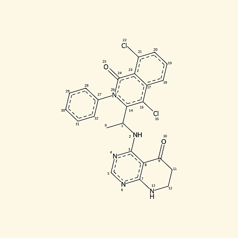 CC(Nc1ncnc2c1C(=O)CCN2)c1c(Cl)c2cccc(Cl)c2c(=O)n1-c1ccccc1